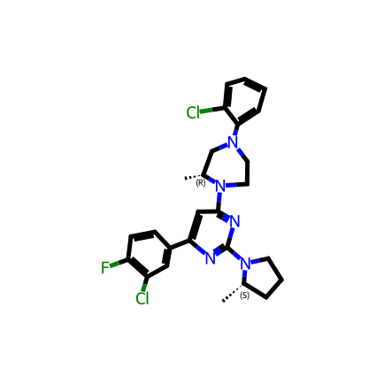 C[C@@H]1CN(c2ccccc2Cl)CCN1c1cc(-c2ccc(F)c(Cl)c2)nc(N2CCC[C@@H]2C)n1